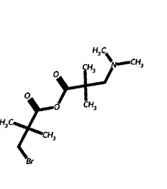 CN(C)CC(C)(C)C(=O)OC(=O)C(C)(C)CBr